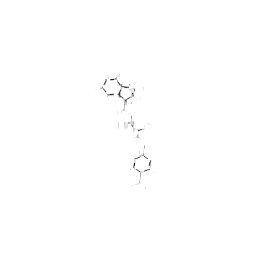 CC(C)c1ccc(COC(=O)NCCc2c[nH]c3ccccc23)cc1